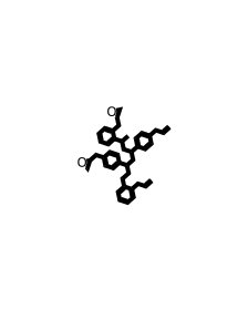 C=CCc1ccc(C(CC(C)c2ccccc2CC2CO2)CC(CCc2ccccc2CC=C)c2ccc(CC3CO3)cc2)cc1